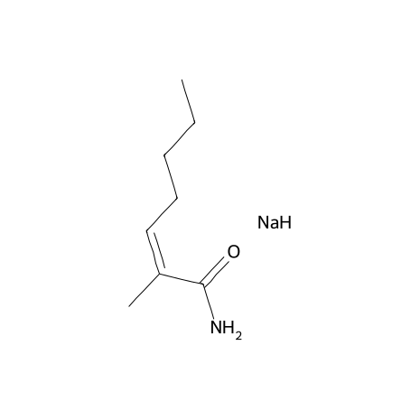 CCCCC=C(C)C(N)=O.[NaH]